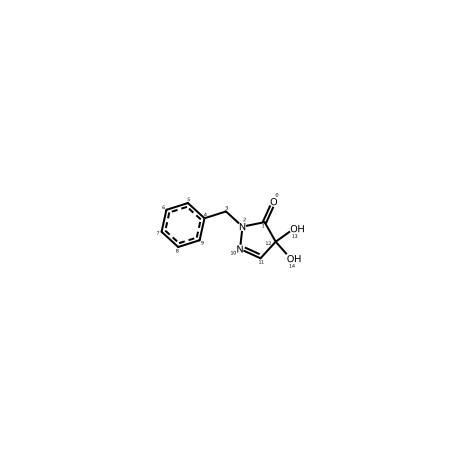 O=C1N(Cc2ccccc2)N=CC1(O)O